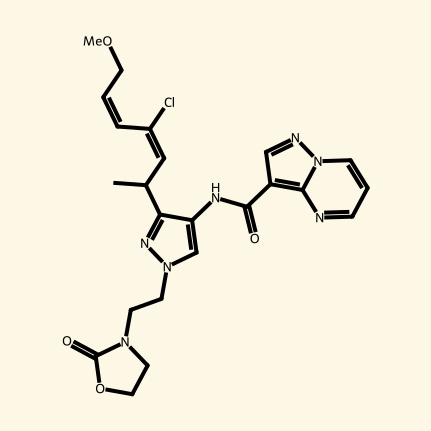 COC/C=C\C(Cl)=C/C(C)c1nn(CCN2CCOC2=O)cc1NC(=O)c1cnn2cccnc12